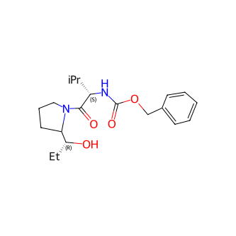 CC[C@@H](O)C1CCCN1C(=O)[C@@H](NC(=O)OCc1ccccc1)C(C)C